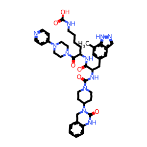 Cc1cc(CC(NC(=O)N2CCC(N3Cc4ccccc4NC3=O)CC2)C(=O)NC(CCCCNC(=O)O)C(=O)N2CCN(c3ccncc3)CC2)cc2cn[nH]c12